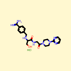 Cl.N=C(N)c1ccc(CNC(CO)C(=O)NCC(=O)N2CCN(c3ncccn3)CC2)cc1